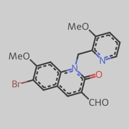 COc1cc2c(cc1Br)cc(C=O)c(=O)n2Cc1ncccc1OC